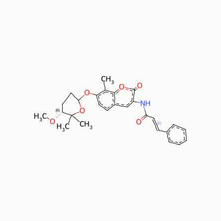 CO[C@@H]1CCC(Oc2ccc3cc(NC(=O)/C=C/c4ccccc4)c(=O)oc3c2C)OC1(C)C